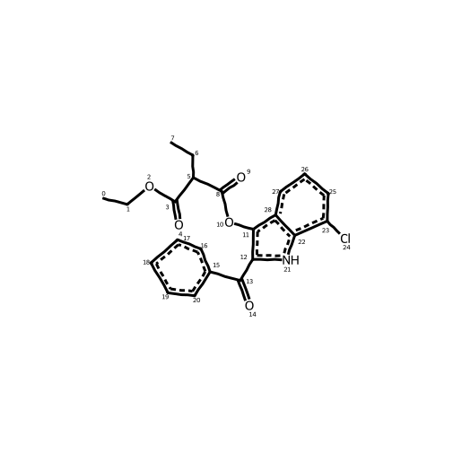 CCOC(=O)C(CC)C(=O)Oc1c(C(=O)c2ccccc2)[nH]c2c(Cl)cccc12